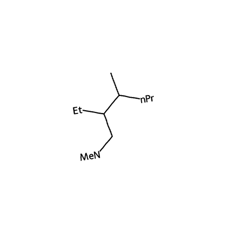 CCCC(C)C(CC)CNC